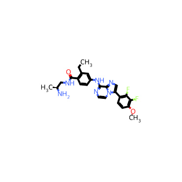 CCc1cc(Nc2nccn3c(-c4ccc(OC)c(F)c4F)cnc23)ccc1C(=O)NC[C@H](C)N